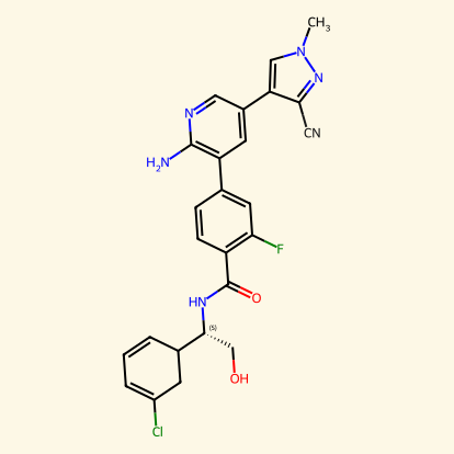 Cn1cc(-c2cnc(N)c(-c3ccc(C(=O)N[C@H](CO)C4C=CC=C(Cl)C4)c(F)c3)c2)c(C#N)n1